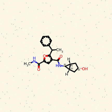 CNC(=O)c1cc(C(=O)N[C@H]2[C@@H]3C[C@H](O)C[C@@H]32)c(C(C)c2ccccc2)o1